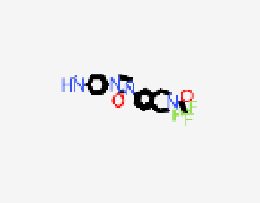 CN[C@H]1CC[C@H](N2CCN(c3ccc4c(c3)CCN(C(=O)C(F)(F)F)CC4)C2=O)CC1